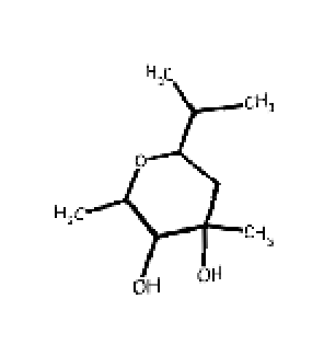 CC(C)C1CC(C)(O)C(O)C(C)O1